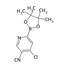 [C-]#[N+]c1cnc(B2OC(C)(C)C(C)(C)O2)cc1Cl